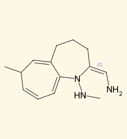 CNN1C2=CC=CC(C)C=C2CCC/C1=C/N